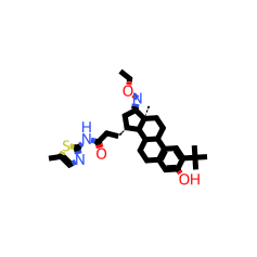 CCO/N=C1\C[C@@H](CCC(=O)Nc2ncc(C)s2)C2C3CCc4cc(O)c(C(C)(C)C)cc4C3CC[C@]12C